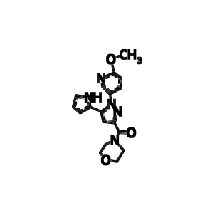 COc1ccc(-n2nc(C(=O)N3CCOCC3)cc2-c2ccc[nH]2)cn1